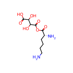 NCCCC[C@@H](N)C(=O)OC(=O)C(O)C(O)C(=O)O